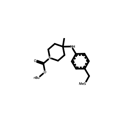 CCCCOC(=O)N1CCC(C)(Nc2ccc(CSC)cc2)CC1